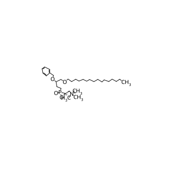 CCCCCCCCCCCCCCCCOCC(CCP1(=O)O[C@@H]1C[N+](C)(C)C)OCc1ccccc1